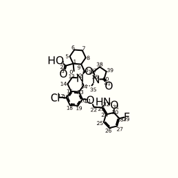 CC1(C(=O)O)CCCCC1C(=O)N1CCc2c(Cl)ccc(OCC3=C4C=CC=C(F)C4ON3)c2[C@H]1CN1CCCC1=O